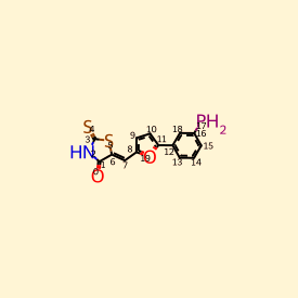 O=C1NC(=S)S/C1=C\c1ccc(-c2cccc(P)c2)o1